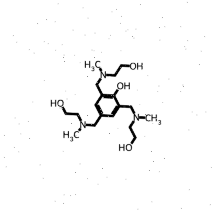 CN(CCO)Cc1cc(CN(C)CCO)c(O)c(CN(C)CCO)c1